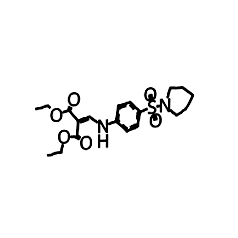 CCOC(=O)C(=CNc1ccc(S(=O)(=O)N2CCCCC2)cc1)C(=O)OCC